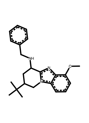 COc1cccc2c1nc1n2CC(C(C)(C)C)CC1NCc1ccccc1